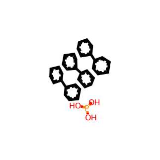 OP(O)O.c1ccc(-c2ccccc2)cc1.c1ccc(-c2ccccc2)cc1.c1ccc(-c2ccccc2)cc1